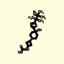 CC(C)(C)[Si](C)(C)c1ncc(C2(O)CCN(C3CC(NC(=O)O)C3)CC2)s1